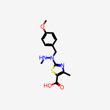 CNN(Cc1ccc(OC)cc1)c1nc(C)c(C(=O)O)s1